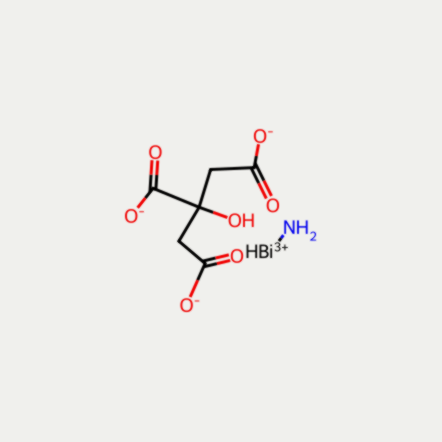 O=C([O-])CC(O)(CC(=O)[O-])C(=O)[O-].[NH2][BiH+3]